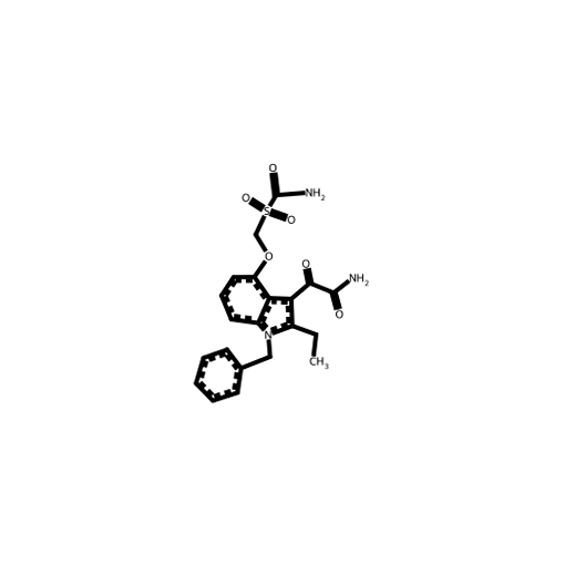 CCc1c(C(=O)C(N)=O)c2c(OCS(=O)(=O)C(N)=O)cccc2n1Cc1ccccc1